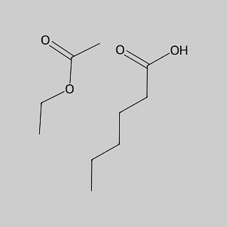 CCCCCC(=O)O.CCOC(C)=O